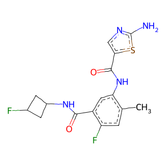 Cc1cc(F)c(C(=O)NC2CC(F)C2)cc1NC(=O)c1cnc(N)s1